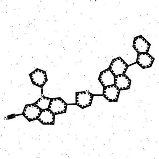 N#Cc1cc2ccc3cc(-c4ccc(-c5ccc6ccc7c(-c8cccc9ccccc89)ccc8ccc5c6c87)nc4)cc4c3c2c(c1)n4-c1ccccc1